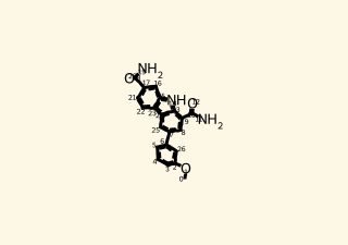 COc1cccc(-c2cc(C(N)=O)c3[nH]c4cc(C(N)=O)ccc4c3c2)c1